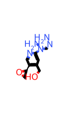 N/N=C\N(N)c1cc(CO)c([C@H]2CO2)cn1